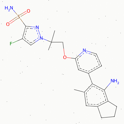 Cc1cc2c(c(N)c1-c1ccnc(OCC(C)(C)n3cc(F)c(S(N)(=O)=O)n3)c1)CCC2